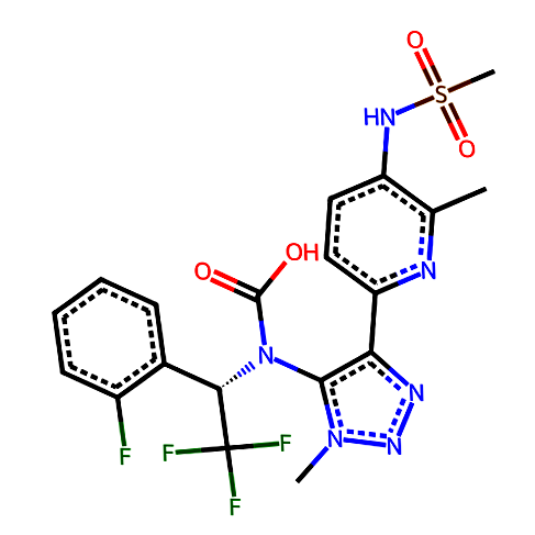 Cc1nc(-c2nnn(C)c2N(C(=O)O)[C@@H](c2ccccc2F)C(F)(F)F)ccc1NS(C)(=O)=O